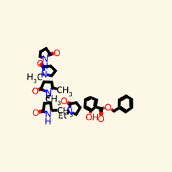 CC1CCC(=O)N1.CC1CCC(=O)N1C.CCN1CCCC1=O.CN1CCCC1=O.O=C(OCc1ccccc1)c1ccccc1O.O=C1CCCN1